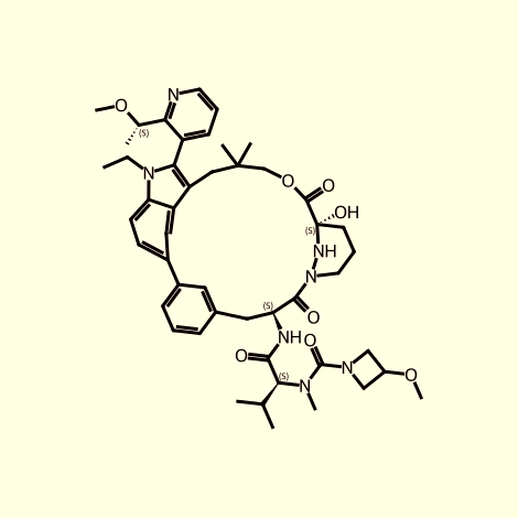 CCn1c(-c2cccnc2[C@H](C)OC)c2c3cc(ccc31)-c1cccc(c1)C[C@H](NC(=O)[C@H](C(C)C)N(C)C(=O)N1CC(OC)C1)C(=O)N1CCC[C@@](O)(N1)C(=O)OCC(C)(C)C2